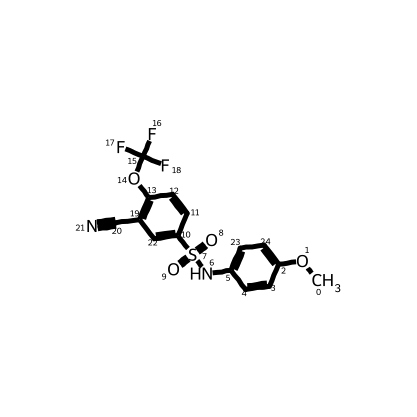 COc1ccc(NS(=O)(=O)c2ccc(OC(F)(F)F)c(C#N)c2)cc1